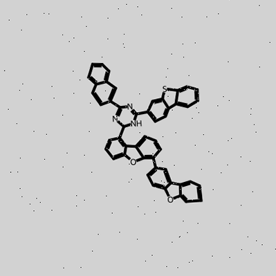 c1ccc2cc(C3=NC(c4cccc5oc6c(-c7ccc8oc9ccccc9c8c7)cccc6c45)NC(c4ccc5c(c4)sc4ccccc45)=N3)ccc2c1